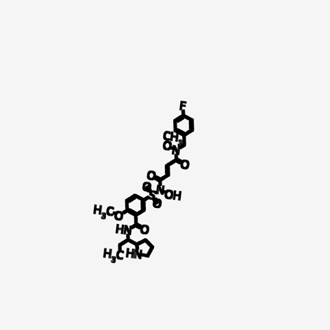 CCC(NC(=O)c1cc(S(=O)(=O)N(O)C(=O)C=CC(=O)N(Cc2ccc(F)cc2)OC)ccc1OC)C1CCCN1